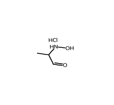 CC(C=O)NO.Cl